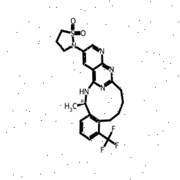 C[C@H]1Nc2nc(nc3ncc(N4CCCS4(=O)=O)cc23)CCCCc2c1cccc2C(F)(F)F